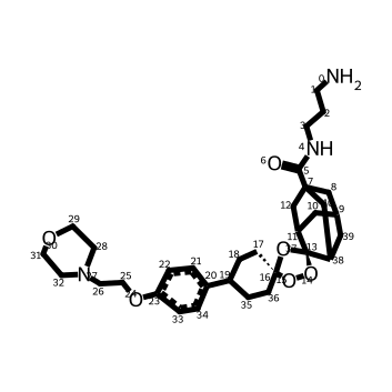 NCCCNC(=O)C12CC3CC(C1)[C@]1(OO[C@]4(CCC(c5ccc(OCCN6CCOCC6)cc5)CC4)O1)C(C3)C2